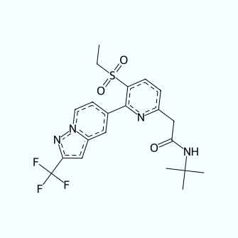 CCS(=O)(=O)c1ccc(CC(=O)NC(C)(C)C)nc1-c1ccn2nc(C(F)(F)F)cc2c1